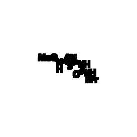 CCCNC(=O)Nc1ncc(NOC)s1